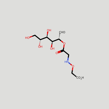 O=C[C@H](OC(=O)CNOCC(=O)O)[C@@H](O)[C@H](O)[C@H](O)CO